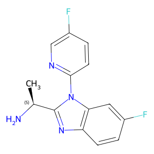 C[C@H](N)c1nc2ccc(F)cc2n1-c1ccc(F)cn1